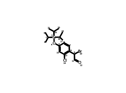 CC(C)[Si](Oc1ccc(C(Br)C=O)c(Cl)c1)(C(C)C)C(C)C